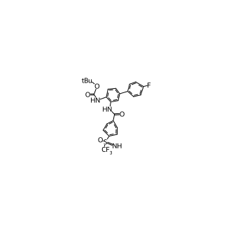 CC(C)(C)OC(=O)Nc1ccc(-c2ccc(F)cc2)cc1NC(=O)c1ccc(S(=N)(=O)C(F)(F)F)cc1